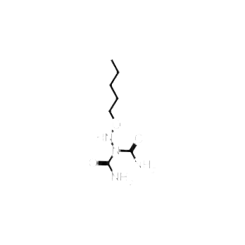 CCCCCONN(C(N)=O)C(N)=O